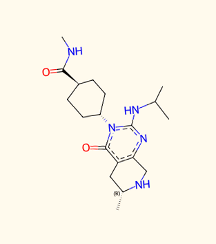 CNC(=O)[C@H]1CC[C@H](n2c(NC(C)C)nc3c(c2=O)C[C@@H](C)NC3)CC1